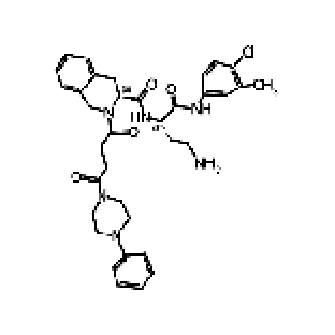 Cc1cc(NC(=O)[C@H](CCN)NC(=O)[C@@H]2Cc3ccccc3CN2C(=O)CCC(=O)N2CCN(c3ccccc3)CC2)ccc1Cl